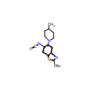 CCCCc1nc2cc(N3CCC(C)CC3)c(N=C=S)cc2s1